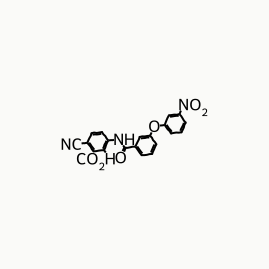 N#Cc1ccc(NC(=O)c2cccc(Oc3cccc([N+](=O)[O-])c3)c2)c(C(=O)O)c1